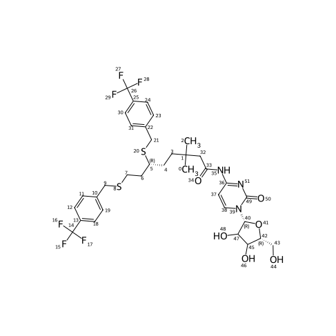 CC(C)(CC[C@H](CCSCc1ccc(C(F)(F)F)cc1)SCc1ccc(C(F)(F)F)cc1)CC(=O)Nc1ccn([C@@H]2O[C@H](CO)C(O)C2O)c(=O)n1